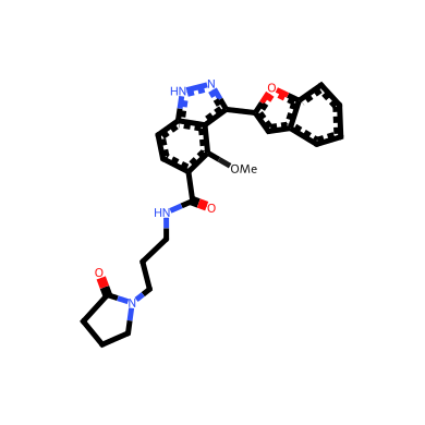 COc1c(C(=O)NCCCN2CCCC2=O)ccc2[nH]nc(-c3cc4ccccc4o3)c12